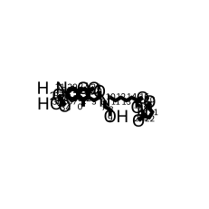 Cc1c(CC(=O)N(CCO)CCCCCC(=O)ON2C(=O)CCC2=O)c(=O)oc2cc(N)c(S(=O)(=O)O)cc12